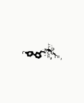 CCOC(=O)C(C)(C)NC(=O)Cc1cccc(-c2ccc(Cl)cc2)c1